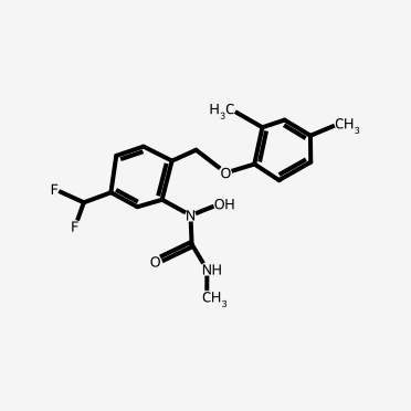 CNC(=O)N(O)c1cc(C(F)F)ccc1COc1ccc(C)cc1C